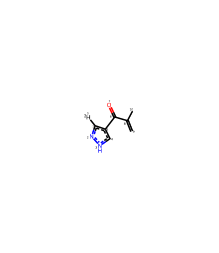 [2H]c1n[nH]cc1C(=O)C(=C)C